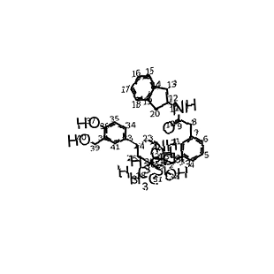 C[C@H](Cc1cccc(CC(=O)NC2Cc3ccccc3C2)c1)NC[C@H](CC(C)(C)[Si](C)(C)O)c1ccc(O)c(CO)c1